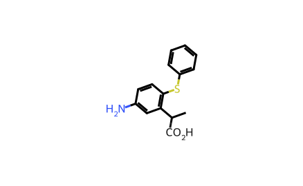 CC(C(=O)O)c1cc(N)ccc1Sc1ccccc1